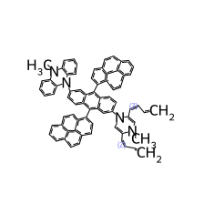 C=C/C=C\C1=CN(c2ccc3c(-c4ccc5ccc6cccc7ccc4c5c67)c4cc(N5c6ccccc6N(C)c6ccccc65)ccc4c(-c4ccc5ccc6cccc7ccc4c5c67)c3c2)C(/C=C\C=C)=CN1C